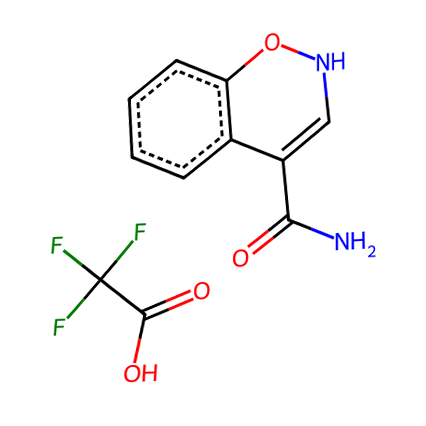 NC(=O)C1=CNOc2ccccc21.O=C(O)C(F)(F)F